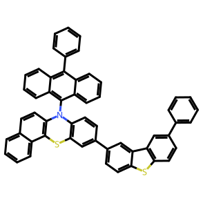 c1ccc(-c2ccc3sc4ccc(-c5ccc6c(c5)Sc5c(ccc7ccccc57)N6c5c6ccccc6c(-c6ccccc6)c6ccccc56)cc4c3c2)cc1